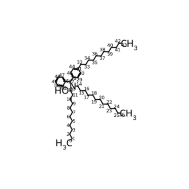 CCCCCCCCCCCCCN(CCCCCCCCCCCCC)C(c1ccc(CCCCCCCCCCCC)cc1)c1ccccc1O